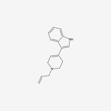 C=CCN1CC=C(c2c[nH]c3ccccc23)CC1